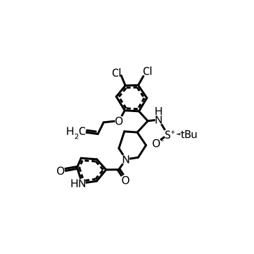 C=CCOc1cc(Cl)c(Cl)cc1C(N[S@@+]([O-])C(C)(C)C)C1CCN(C(=O)c2ccc(=O)[nH]c2)CC1